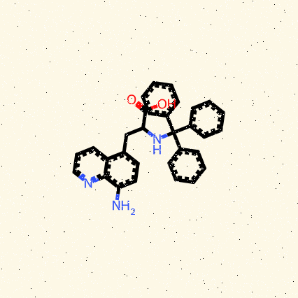 Nc1ccc(CC(NC(c2ccccc2)(c2ccccc2)c2ccccc2)C(=O)O)c2cccnc12